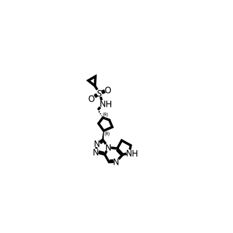 O=S(=O)(NC[C@@H]1CC[C@@H](c2nnc3cnc4c(n23)CCN4)C1)C1CC1